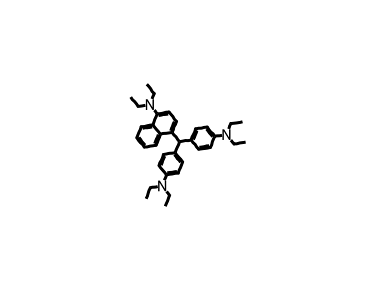 CCN(CC)c1ccc(C(c2ccc(N(CC)CC)cc2)c2ccc(N(CC)CC)c3ccccc23)cc1